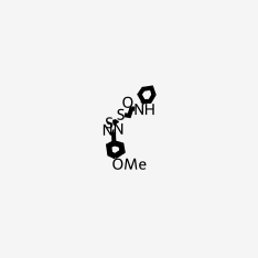 COc1ccc(-c2nsc(SCC(=O)NC3CCCCC3)n2)cc1